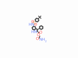 CC(C)(C)c1ccc(S(=O)(=O)Nc2ccc3[nH]c(C(=O)OCC(N)=O)c(-c4ccccc4)c3c2)cc1